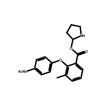 CC(=O)Nc1ccc(Oc2c(C)cccc2C(=O)OC2CCCN2)cc1